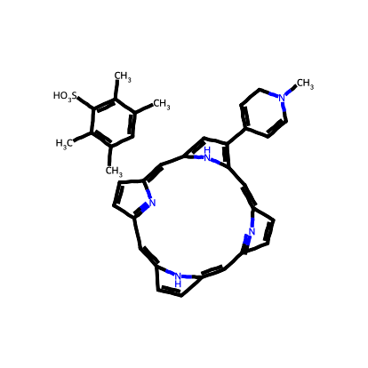 CN1C=CC(c2cc3cc4nc(cc5ccc(cc6nc(cc2[nH]3)C=C6)[nH]5)C=C4)=CC1.Cc1cc(C)c(C)c(S(=O)(=O)O)c1C